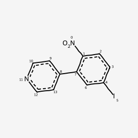 O=[N+]([O-])c1c[c]c(I)cc1-c1ccncc1